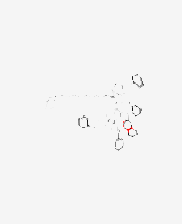 CC[C@@H](OCc1ccccc1)[C@@H](OCc1ccccc1)[C@H](CO[C@H]1OC(COCc2ccccc2)[C@H](OCc2ccccc2)[C@H](OCc2ccccc2)C1OCc1ccccc1)NC(=O)CCCCCCCCCCCNC(=O)C(F)(F)F